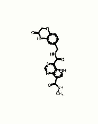 CNC(=O)c1c[nH]c2c(C(=O)NCc3ccc4c(c3)NC(=O)CO4)ncnc12